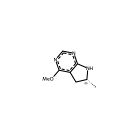 COc1ncnc2c1C[C@@H](C)N2